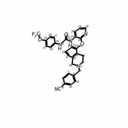 N#Cc1ccc(CN2CCc3c(cccc3Oc3ncccc3NC(=O)Nc3ccc(OC(F)(F)F)cc3)C2)cc1